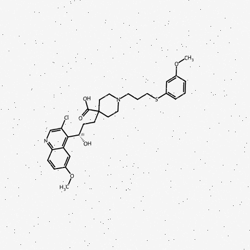 COc1cccc(SCCCN2CCC(CC[C@H](O)c3c(Cl)cnc4ccc(OC)cc34)(C(=O)O)CC2)c1